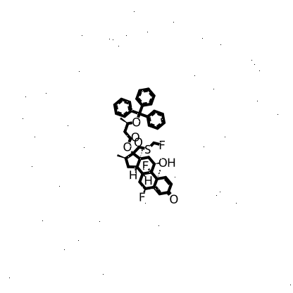 C[C@H](CC(=O)O[C@]1(C(=O)SCF)[C@H](C)C[C@H]2[C@@H]3C[C@H](F)C4=CC(=O)C=C[C@]4(C)[C@@]3(F)[C@@H](O)C[C@@]21C)OC(c1ccccc1)(c1ccccc1)c1ccccc1